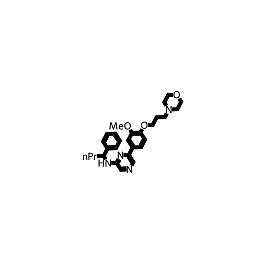 CCCC(Nc1cncc(-c2ccc(OCCCN3CCOCC3)c(OC)c2)n1)c1ccccc1